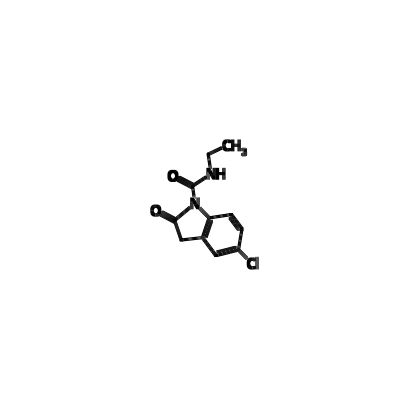 CCNC(=O)N1C(=O)Cc2cc(Cl)ccc21